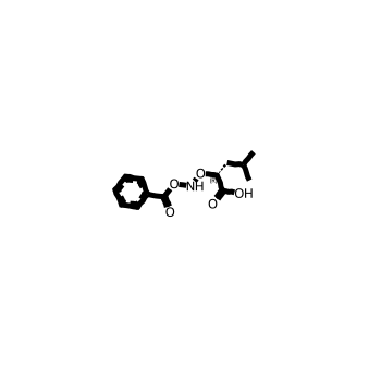 CC(C)C[C@@H](ONOC(=O)c1ccccc1)C(=O)O